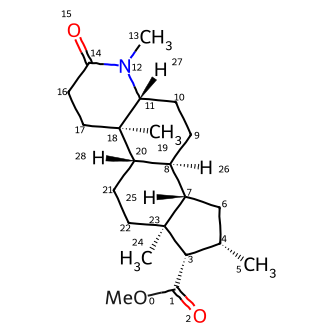 COC(=O)[C@H]1[C@@H](C)C[C@H]2[C@@H]3CC[C@H]4N(C)C(=O)CC[C@]4(C)[C@H]3CC[C@@]21C